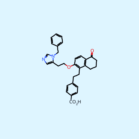 O=C(O)c1ccc(CCc2c(OCCc3cncn3Cc3ccccc3)ccc3c2CCCC3=O)cc1